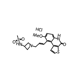 COc1ccc2[nH]c(=O)c3sccc3c2c1C=CCN1CC(NS(C)(=O)=O)C1.Cl